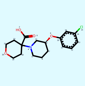 O=C(O)C1(N2CCC[C@H](Oc3cccc(Cl)c3)C2)CCOCC1